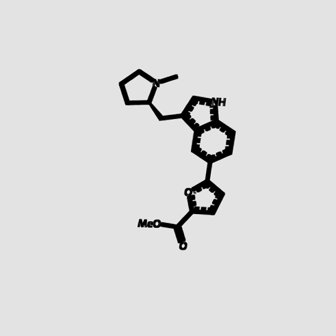 COC(=O)c1ccc(-c2ccc3[nH]cc(C[C@H]4CCCN4C)c3c2)o1